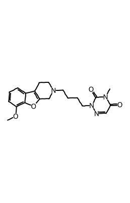 COc1cccc2c3c(oc12)CN(CCCCn1ncc(=O)n(C)c1=O)CC3